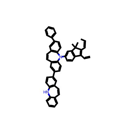 C=CC1=C(/C=C\C)C(C)(C)c2cc(N3c4ccc(-c5ccccc5)cc4C=Cc4cc(-c5ccc6c(c5)C=Cc5ccccc5N6)ccc43)ccc21